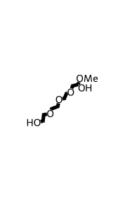 COC(O)COCCOCCOCCO